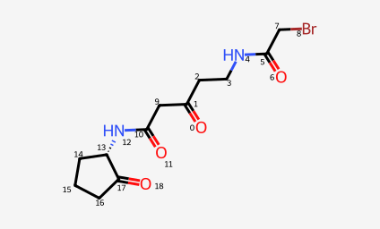 O=C(CCNC(=O)CBr)CC(=O)N[C@H]1CCCC1=O